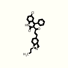 CCCn1ncc2cc(/C=C/C(=O)c3c(-c4ccccc4)c4cc(Cl)ccc4[nH]c3=O)ccc21